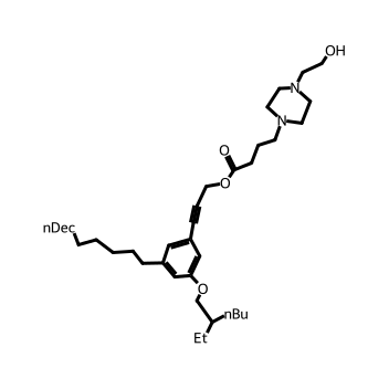 CCCCCCCCCCCCCCCc1cc(C#CCOC(=O)CCCN2CCN(CCO)CC2)cc(OCC(CC)CCCC)c1